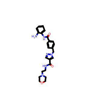 Nc1ccccc1NC(=O)c1ccc(Cn2cc(C(=O)NCCN3CCOCC3)cn2)cc1